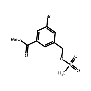 COC(=O)c1cc(Br)cc(COS(C)(=O)=O)c1